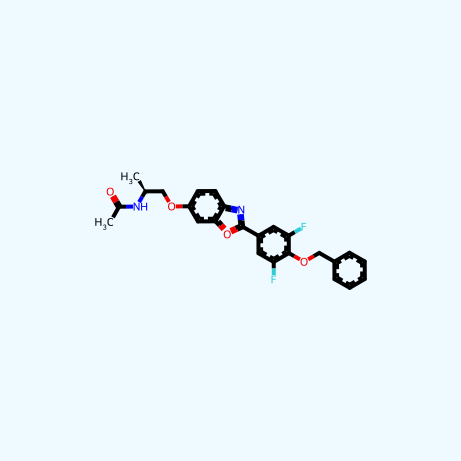 CC(=O)N[C@@H](C)COc1ccc2nc(-c3cc(F)c(OCc4ccccc4)c(F)c3)oc2c1